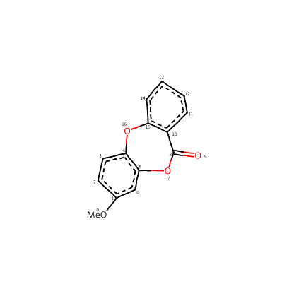 COc1ccc2c(c1)OC(=O)c1ccccc1O2